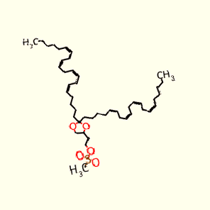 CCCCC/C=C\C/C=C\C/C=C\C/C=C\CCCCC1(CCCC/C=C\C/C=C\C/C=C\C/C=C\CCCCC)OCC(CCOS(C)(=O)=O)O1